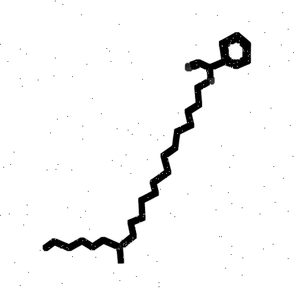 CCCCCCN(C)CCCCCCCCCCCCCCON(C=O)c1ccccc1